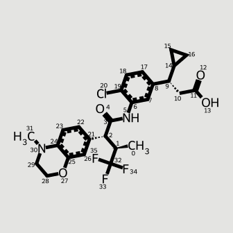 C[C@H]([C@@H](C(=O)Nc1cc([C@@H](CC(=O)O)C2CC2)ccc1Cl)c1ccc2c(c1)OCCN2C)C(F)(F)F